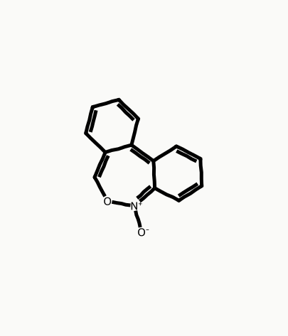 [O-][N+]1=c2ccccc2=c2ccccc2=CO1